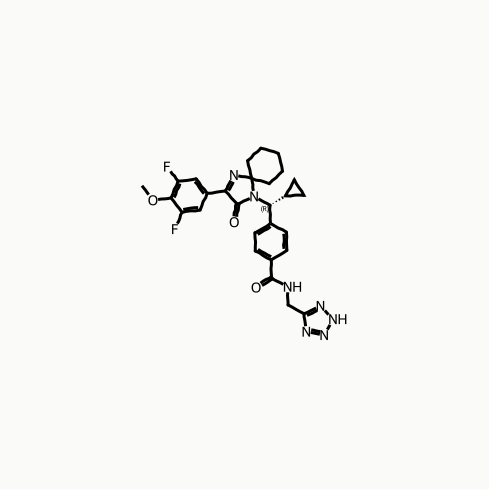 COc1c(F)cc(C2=NC3(CCCCC3)N([C@@H](c3ccc(C(=O)NCc4nn[nH]n4)cc3)C3CC3)C2=O)cc1F